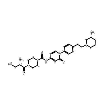 N[C@@H]1CCCN(CCc2ccc(-n3ccc(NC(=O)N4CCN(C(=O)[C@@H](N)CO)CC4)nc3=O)cc2)C1